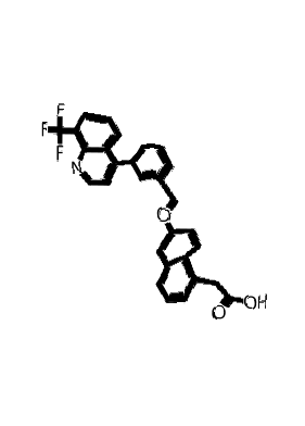 O=C(O)Cc1cccc2cc(OCc3cccc(-c4ccnc5c(C(F)(F)F)cccc45)c3)ccc12